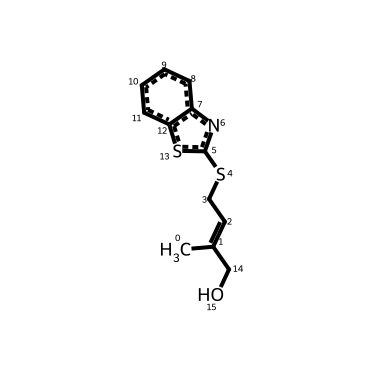 C/C(=C\CSc1nc2ccccc2s1)CO